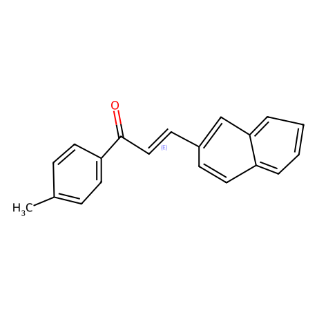 Cc1ccc(C(=O)/C=C/c2ccc3ccccc3c2)cc1